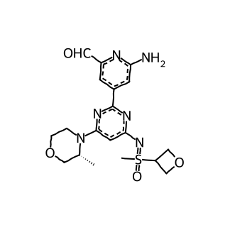 C[C@@H]1COCCN1c1cc(N=S(C)(=O)C2COC2)nc(-c2cc(N)nc(C=O)c2)n1